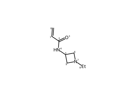 C=CC(=O)NC1CN(CC)C1